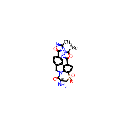 Cc1noc(-c2ccc(CN3C(=O)[C@@H](N)CS(=O)(=O)c4ccc(-c5nnc(C(C)(C)C)o5)cc43)cc2)n1